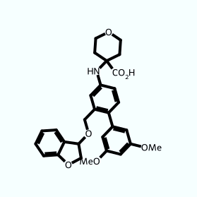 COc1cc(OC)cc(-c2ccc(NC3(C(=O)O)CCOCC3)cc2COC2COc3ccccc32)c1